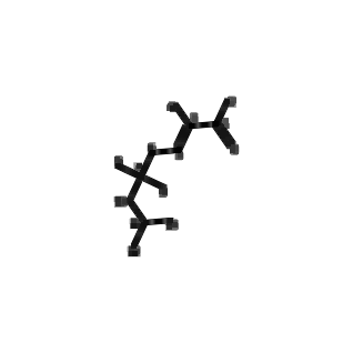 C=C(C)C(C)=CCC(C)(C)CC(C)C